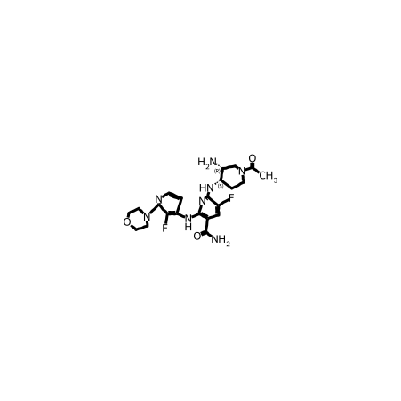 CC(=O)N1CC[C@H](Nc2nc(Nc3ccnc(N4CCOCC4)c3F)c(C(N)=O)cc2F)[C@H](N)C1